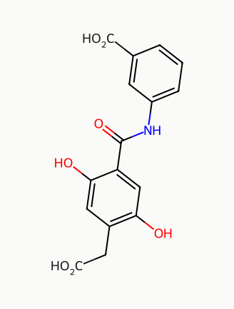 O=C(O)Cc1cc(O)c(C(=O)Nc2cccc(C(=O)O)c2)cc1O